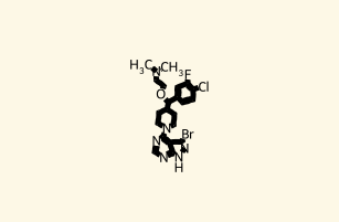 CN(C)CCOC(c1ccc(Cl)c(F)c1)C1CCN(c2ncnc3[nH]nc(Br)c23)CC1